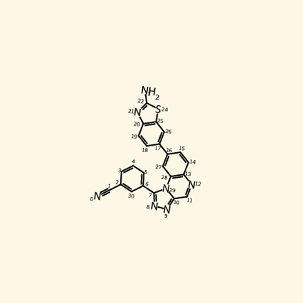 N#Cc1cccc(-c2nnc3cnc4ccc(-c5ccc6nc(N)sc6c5)cc4n23)c1